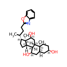 CC(CCc1nc2ccccc2o1)[C@H]1CC[C@H]2[C@@H]3[C@H](O)C[C@@H]4C[C@H](O)CC[C@]4(C)[C@H]3C[C@H](O)[C@]12C